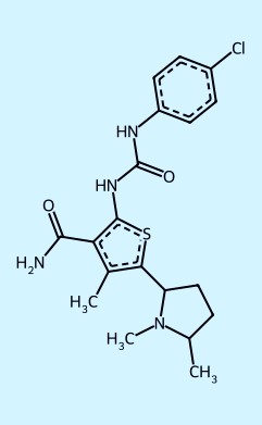 Cc1c(C2CCC(C)N2C)sc(NC(=O)Nc2ccc(Cl)cc2)c1C(N)=O